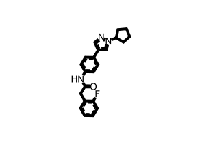 O=C(Cc1ccccc1F)Nc1ccc(-c2cnn(C3CCCC3)c2)cc1